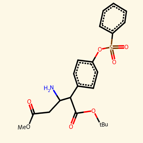 COC(=O)CC(N)C(C(=O)OC(C)(C)C)c1ccc(OS(=O)(=O)c2ccccc2)cc1